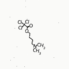 CN(C)CCCCOC(=O)C(Cl)(Cl)Cl